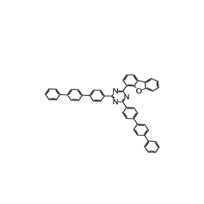 c1ccc(-c2ccc(-c3ccc(-c4nc(-c5ccc(-c6ccc(-c7ccccc7)cc6)cc5)nc(-c5cccc6c5oc5ccccc56)n4)cc3)cc2)cc1